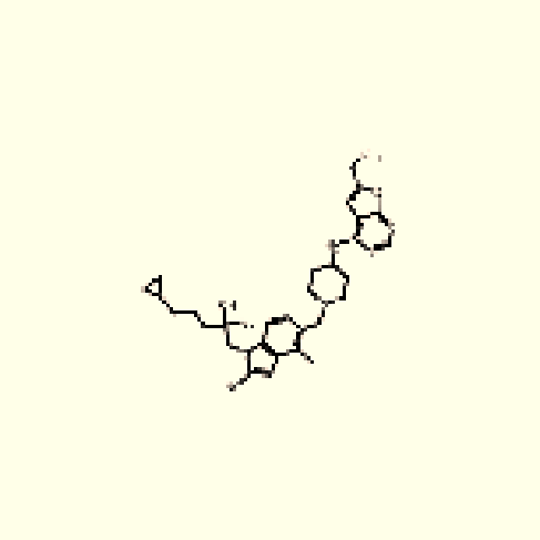 CCC(O)(CCCC1CC1)Cn1c(C#N)cc2c(C)c(CN3CCC(Nc4ncnc5sc(CC(F)(F)F)cc45)CC3)ccc21